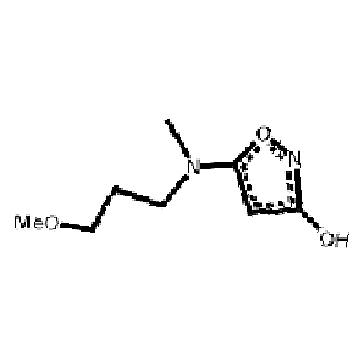 COCCCN(C)c1cc(O)no1